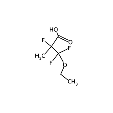 CCOC(F)(F)C(C)(F)C(=O)O